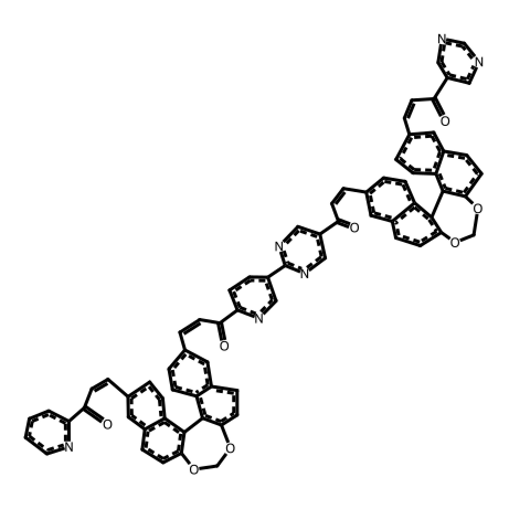 O=C(/C=C\c1ccc2c3c(ccc2c1)OCOc1ccc2cc(/C=C\C(=O)c4cnc(-c5ccc(C(=O)/C=C\c6ccc7c8c(ccc7c6)OCOc6ccc7cc(/C=C\C(=O)c9ccccn9)ccc7c6-8)nc5)nc4)ccc2c1-3)c1cncnc1